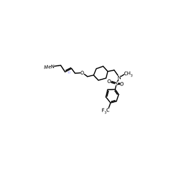 CNC/C=C/COCC1CCC(CN(C)S(=O)(=O)c2ccc(C(F)(F)F)cc2)CC1